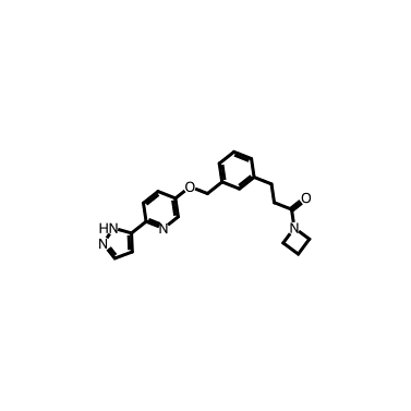 O=C(CCc1cccc(COc2ccc(-c3ccn[nH]3)nc2)c1)N1CCC1